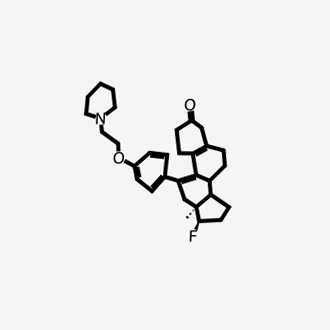 C[C@]12CC(c3ccc(OCCN4CCCCC4)cc3)=C3C4=C(CCC3C1CC[C@H]2F)CC(=O)CC4